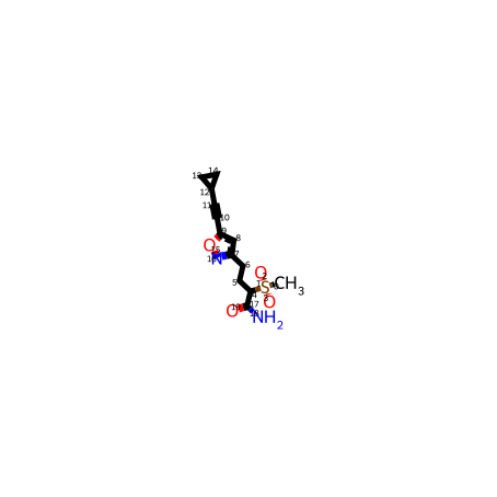 CS(=O)(=O)C(CCc1cc(C#CC2CC2)on1)C(N)=O